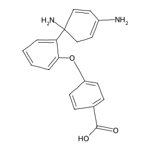 NC1=CCC(N)(c2ccccc2Oc2ccc(C(=O)O)cc2)C=C1